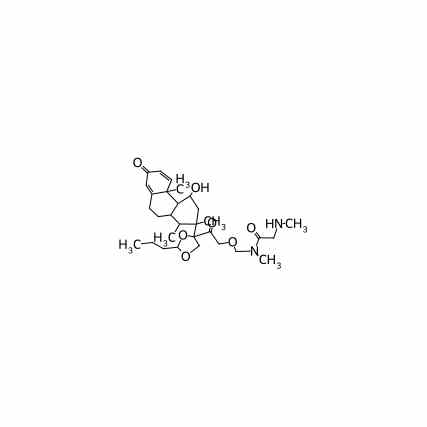 CCCC1OCC(C(=O)COCN(C)C(=O)CNC)(C2(C)CC(O)C3C(CCC4=CC(=O)C=CC43C)C2C)O1